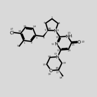 Cc1cc(C[C@H]2CCCN2c2nc(N3CCO[C@H](C)C3)cc(=O)[nH]2)ccc1Cl